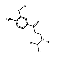 CCCCOc1cc(C(=O)OC[C@H](C(C)C)N(CC)CC)ccc1N